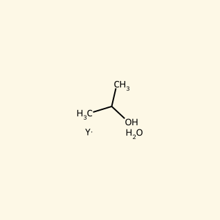 CC(C)O.O.[Y]